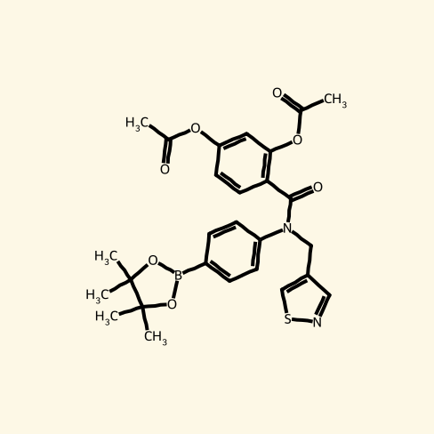 CC(=O)Oc1ccc(C(=O)N(Cc2cnsc2)c2ccc(B3OC(C)(C)C(C)(C)O3)cc2)c(OC(C)=O)c1